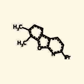 Cc1ccc2c(oc3nc(C(C)C)ccc32)c1C